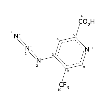 [N-]=[N+]=Nc1cc(C(=O)O)ncc1C(F)(F)F